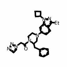 CCc1nn(C2CCC2)c2cc(N3CCN(C(=O)Cn4ccnn4)C(Cc4ccccc4)C3)ccc12